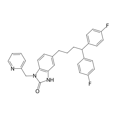 O=c1[nH]c2cc(CCCC(c3ccc(F)cc3)c3ccc(F)cc3)ccc2n1Cc1ccccn1